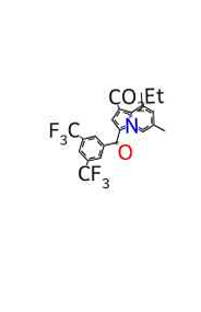 CCOC(=O)c1cc(C(=O)c2cc(C(F)(F)F)cc(C(F)(F)F)c2)n2cc(C)cc(C)c12